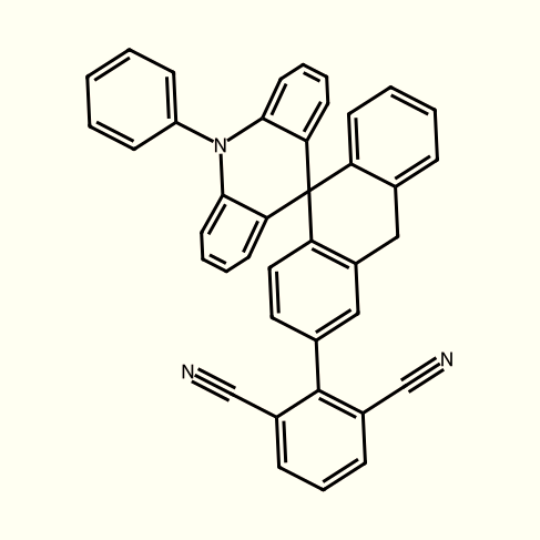 N#Cc1cccc(C#N)c1-c1ccc2c(c1)Cc1ccccc1C21c2ccccc2N(c2ccccc2)c2ccccc21